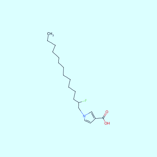 CCCCCCCCCCCCC(F)Cn1ccc(C(=O)O)c1